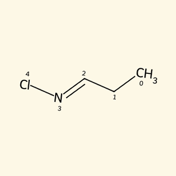 CCC=NCl